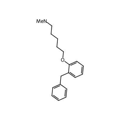 CNCCCCCOc1ccccc1Cc1ccccc1